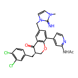 CC(=O)Nc1cc(-c2cc(Cn3ccn(C)c3=N)cc3c2OC[C@@H](Cc2ccc(Cl)c(Cl)c2)C3=O)ccn1